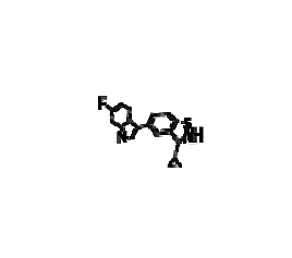 FC1=CC=C2C(c3ccc4c(c3)C(C3CC3)NS4)=CN=C2C1